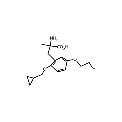 CC(N)(Cc1cc(OCCF)ccc1OCC1CC1)C(=O)O